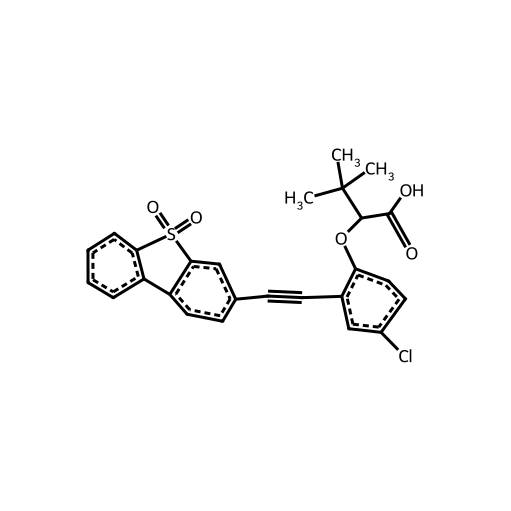 CC(C)(C)C(Oc1ccc(Cl)cc1C#Cc1ccc2c(c1)S(=O)(=O)c1ccccc1-2)C(=O)O